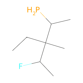 CCC(C)(C(C)F)C(C)P